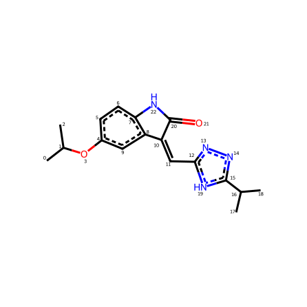 CC(C)Oc1ccc2c(c1)C(=Cc1nnc(C(C)C)[nH]1)C(=O)N2